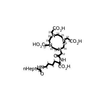 CCCCCCCC(=O)NCCCCC(NC(=O)CN1CCN(CC(=O)O)CCN(CC(=O)O)CCN(CC(=O)O)CC1)C(=O)O